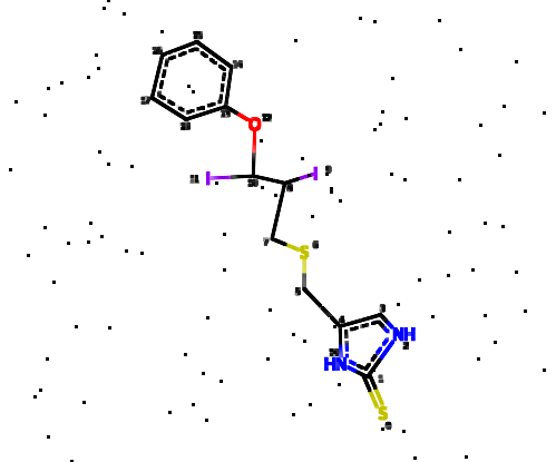 S=c1[nH]cc(CSCC(I)C(I)Oc2ccccc2)[nH]1